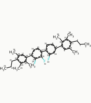 CCCc1c(C)cc(-c2ccc(-c3ccc(-c4cc(C)c(CCC)c(C)c4C)c(F)c3F)c(F)c2)c(C)c1C